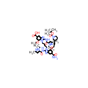 CCn1nc(C)cc1C(=O)Nc1nc2cc(C(=O)O)cc(OC)c2n1C/C=C/Cn1c(NC(=O)c2cc(C)nn2CC)nc2cc(C(N)=O)cc(OCC#CC3CCCN(C(=O)OC(C)(C)C)C3)c21